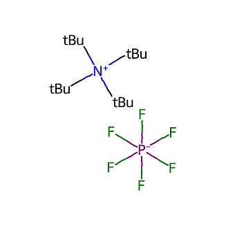 CC(C)(C)[N+](C(C)(C)C)(C(C)(C)C)C(C)(C)C.F[P-](F)(F)(F)(F)F